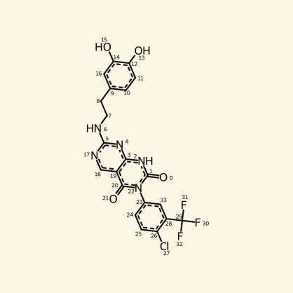 O=c1[nH]c2nc(NCCc3ccc(O)c(O)c3)ncc2c(=O)n1-c1ccc(Cl)c(C(F)(F)F)c1